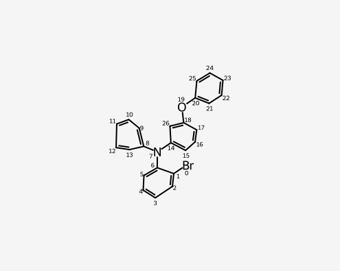 Brc1ccccc1N(c1ccccc1)c1cccc(Oc2ccccc2)c1